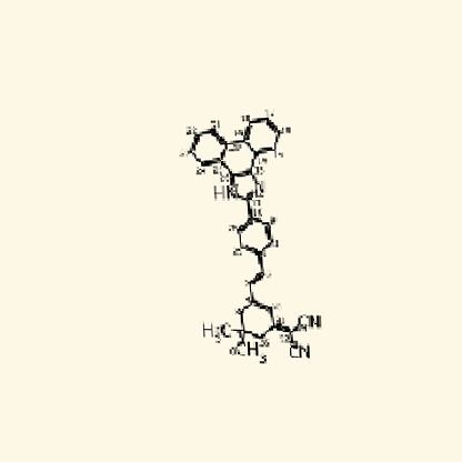 CC1(C)CC(C=Cc2ccc(-c3nc4c5ccccc5c5ccccc5c4[nH]3)cc2)=CC(=C(C#N)C#N)C1